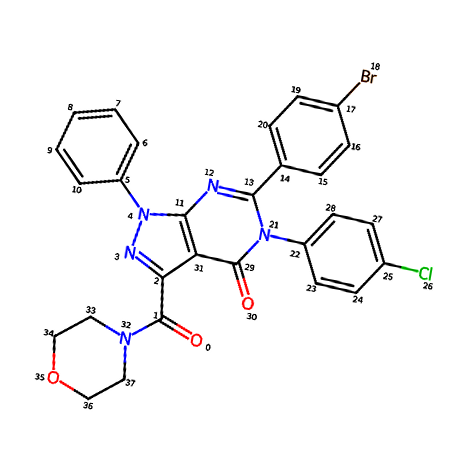 O=C(c1nn(-c2ccccc2)c2nc(-c3ccc(Br)cc3)n(-c3ccc(Cl)cc3)c(=O)c12)N1CCOCC1